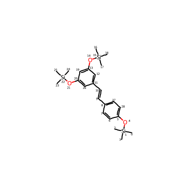 C[Si](C)(C)Oc1ccc(/C=C/c2cc(O[Si](C)(C)C)cc(O[Si](C)(C)C)c2)cc1